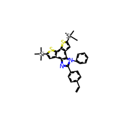 C=Cc1ccc(-c2nc3c4cc([Si](C)(C)C)sc4c4sc([Si](C)(C)C)cc4c3n2-c2ccccc2)cc1